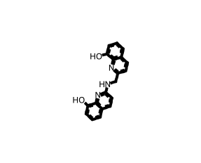 Oc1cccc2ccc(CNc3ccc4cccc(O)c4n3)nc12